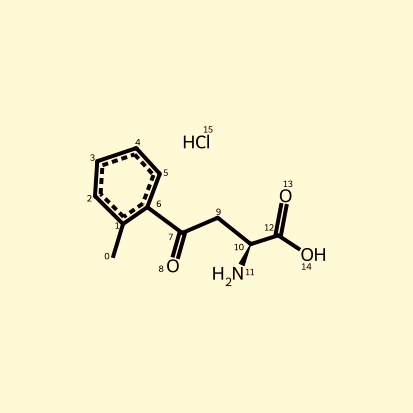 Cc1ccccc1C(=O)C[C@H](N)C(=O)O.Cl